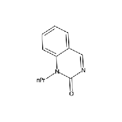 CCCn1c(=O)ncc2ccccc21